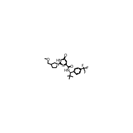 COCC1CCN(c2nc(C(=O)N[C@@H](c3ccc(C(F)(F)F)cc3)C(C)(C)C)cc(=O)[nH]2)C1